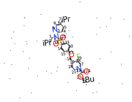 CC(C)CN(c1ccc(C(C)C)cn1)S(=O)(=O)c1ccc(OC[C@@H]2CCN(C(=O)OC(C)(C)C)C[C@@H]2F)cc1